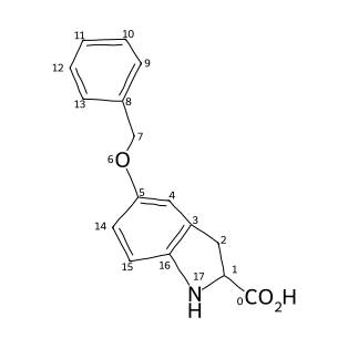 O=C(O)C1Cc2cc(OCc3ccccc3)ccc2N1